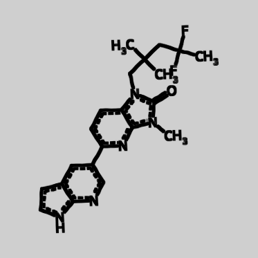 Cn1c(=O)n(CC(C)(C)CC(C)(F)F)c2ccc(-c3cnc4[nH]ccc4c3)nc21